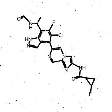 CC(NC=O)c1c(F)c(Cl)c(-c2cn3cc(NC(=O)C4CC4F)nc3cn2)c2cn[nH]c12